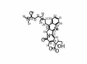 CC[C@@]1(O)C(=O)OCc2c1cc1n(c2=O)Cc2c-1nc1ccccc1c2CC[Si](C)(C)CCC(=O)N(C)C